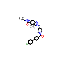 Cc1c(C(=O)NCC(F)(F)F)ccc2nn(CC3CCN(C(=O)c4ccc(-c5ccc(F)cc5)cc4)CC3)cc12